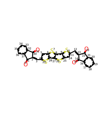 O=C1C(=Cc2cc3sc4c5sc(C=C6C(=O)c7ccccc7C6=O)cc5sc4c3s2)C(=O)c2ccccc21